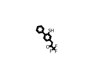 O=C(Cc1ccc(-c2ccccc2)c(S)c1)C(F)(F)F